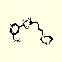 CC(C)(C)c1cncc(-c2nnc(CCCN3CCOCC3)o2)c1